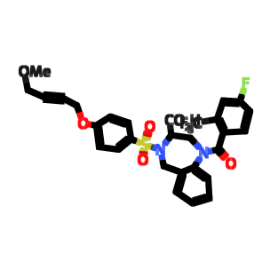 COCC#CCOc1ccc(S(=O)(=O)N2Cc3ccccc3N(C(=O)c3ccc(F)cc3C(F)(F)F)CC2C(=O)O)cc1